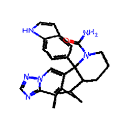 Cc1c(C2(c3ccc4[nH]ccc4c3)C(C(C)C)CCCN2C(N)=O)cn2ncnc2c1C